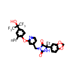 CCCc1cc(C(O)(C(F)(F)F)C(F)(F)F)ccc1Oc1cc(CN2C(=O)NC(CC)(c3ccc4c(c3)OCO4)C2=O)ccn1